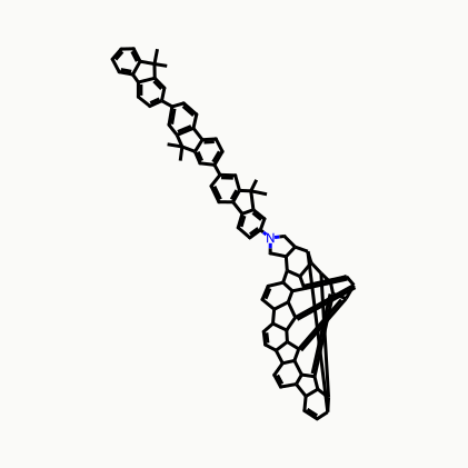 CC1(C)c2ccccc2-c2ccc(-c3ccc4c(c3)C(C)(C)c3cc(-c5ccc6c(c5)C(C)(C)c5cc(N7CC8C(C7)C7C9C=CC%10C%11C=CC%12C%13C=CC%14C%15C=CC%16C%17C%18=C%19C%20=C(C%14C%13C%13=C%20C%14=C(C%11C%13%12)C%10C9C(=C%14%19)C7C%18C%168)C%15%17)ccc5-6)ccc3-4)cc21